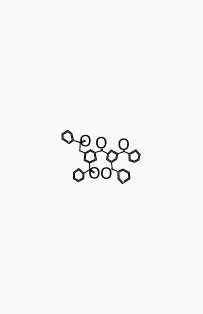 O=C(Cc1cc(C(=O)c2ccccc2)cc(C(=O)c2cc(C(=O)c3ccccc3)cc(C(=O)c3ccccc3)c2)c1)c1ccccc1